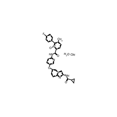 Cc1ccc(C(=O)Nc2ccc(Oc3ccc4nc(NC(=O)C5CC5)cn4c3)cn2)[n+]([O-])c1-c1ccc(F)cc1.Cl.O